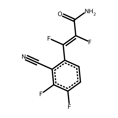 N#Cc1c(C(F)=C(F)C(N)=O)ccc(F)c1F